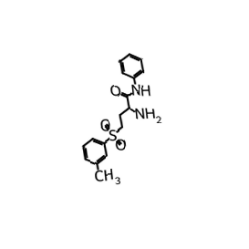 Cc1cccc(S(=O)(=O)CCC(N)C(=O)Nc2ccccc2)c1